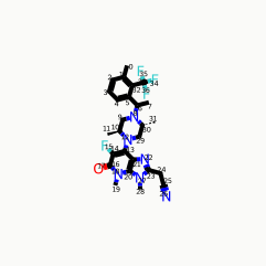 Cc1cccc(C(C)N2C[C@H](C)N(c3c(F)c(=O)n(C)c4c3nc(CC#N)n4C)C[C@H]2C)c1C(F)(F)F